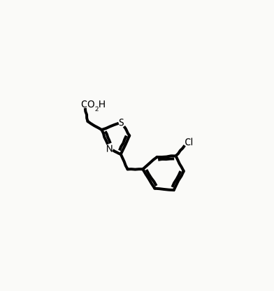 O=C(O)Cc1nc(Cc2cccc(Cl)c2)cs1